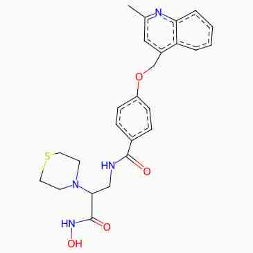 Cc1cc(COc2ccc(C(=O)NCC(C(=O)NO)N3CCSCC3)cc2)c2ccccc2n1